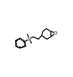 C[Si](C)(CCC1CCC2OC2C1)c1ccccc1